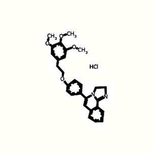 COc1cc(CCOc2ccc(C3=Cc4ccccc4C4=NCCN34)cc2)cc(OC)c1OC.Cl